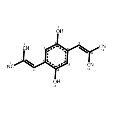 N#CC(C#N)=Cc1cc(O)c(C=C(C#N)C#N)cc1O